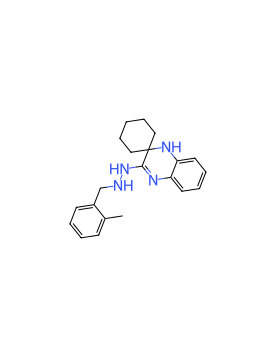 Cc1ccccc1CNNC1=Nc2ccccc2NC12CCCCC2